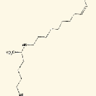 CCCCCCCC/C=C\CCCCCCCCN[C@@H](CCCCN)C(=O)O